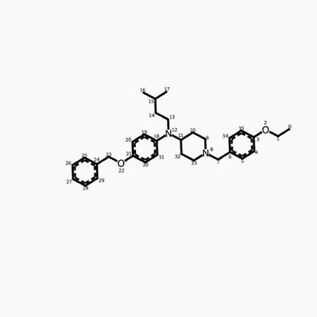 CCOc1ccc(CN2CCC(N(CCC(C)C)c3ccc(OCc4ccccc4)cc3)CC2)cc1